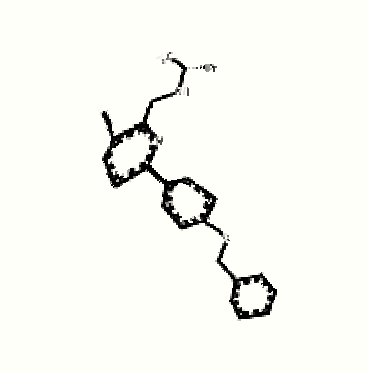 CC(C)[C@@H](C)NCc1nc(-c2ccc(OCc3ccccc3)cc2)ccc1F